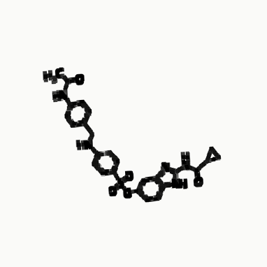 CC(=O)Nc1ccc(CNc2ccc(S(=O)(=O)Oc3ccc4[nH]c(NC(=O)C5CC5)nc4c3)cc2)cc1